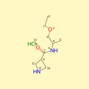 CCOCC(C)NC(=O)C1CNC1.Cl